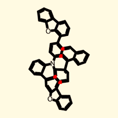 c1ccc(N(c2ccc(-c3cccc4c3oc3ccccc34)cc2)c2ccccc2-c2cccc3ccccc23)c(-c2ccc3c(c2)oc2ccccc23)c1